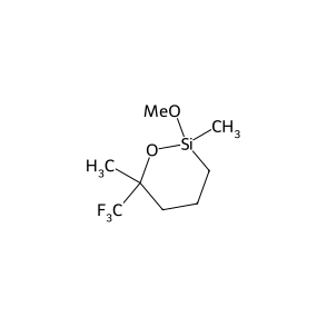 CO[Si]1(C)CCCC(C)(C(F)(F)F)O1